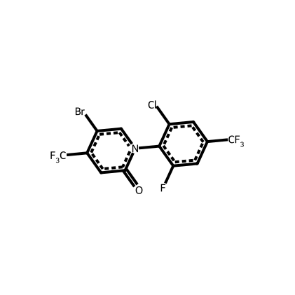 O=c1cc(C(F)(F)F)c(Br)cn1-c1c(F)cc(C(F)(F)F)cc1Cl